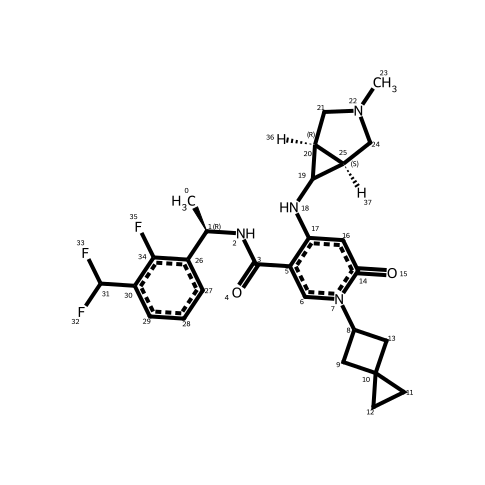 C[C@@H](NC(=O)c1cn(C2CC3(CC3)C2)c(=O)cc1NC1[C@H]2CN(C)C[C@@H]12)c1cccc(C(F)F)c1F